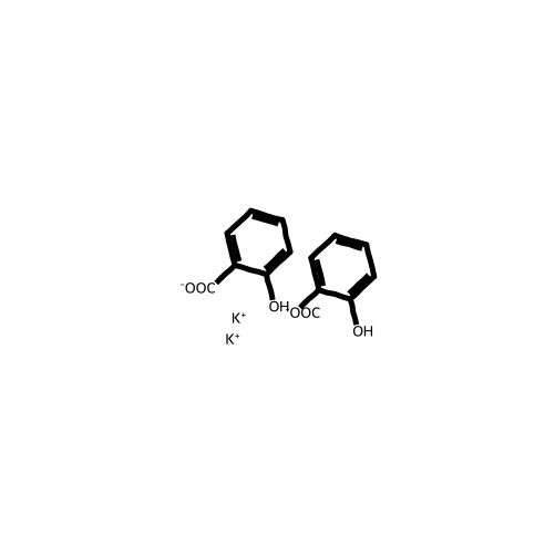 O=C([O-])c1ccccc1O.O=C([O-])c1ccccc1O.[K+].[K+]